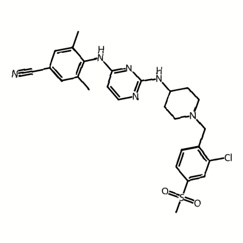 Cc1cc(C#N)cc(C)c1Nc1ccnc(NC2CCN(Cc3ccc(S(C)(=O)=O)cc3Cl)CC2)n1